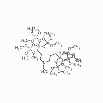 CCN(CCC[Si](O[Si](OC)(OC)OC)(O[Si](OC)(OC)OC)O[Si](OC)(OC)OC)CCC[Si](O[Si](OC)(OC)OC)(O[Si](OC)(OC)OC)O[Si](OC)(OC)OC